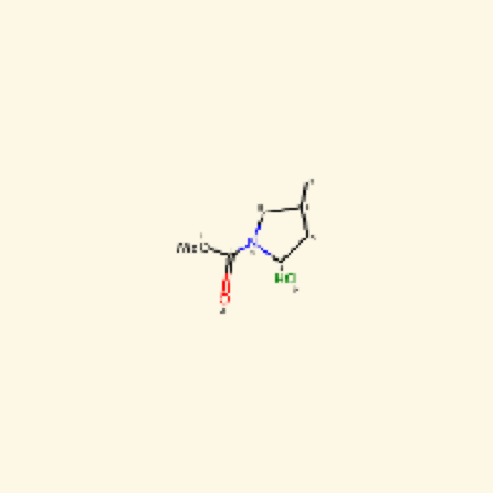 COC(=O)N1CCC(C)C1.Cl